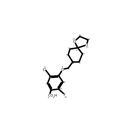 O=C(O)c1cc(Cl)c(OCC2CCC3(CC2)OCCO3)cc1F